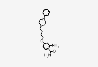 NC(=O)c1ccc(OCCCCN2CCN(c3ccccc3)CC2)cc1N